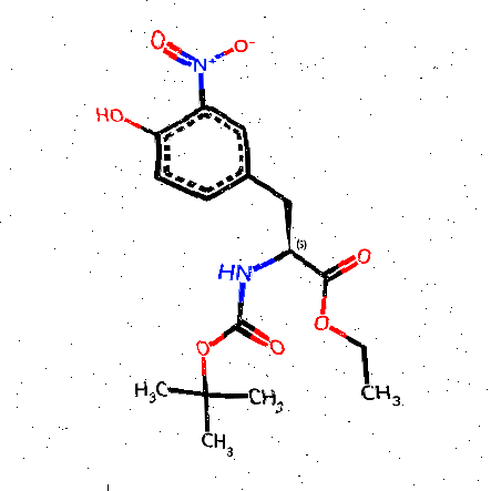 CCOC(=O)[C@H](Cc1ccc(O)c([N+](=O)[O-])c1)NC(=O)OC(C)(C)C